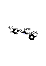 Cc1nc(OC/C(=C/Nc2cccc(F)c2C)N=N)ncc1F